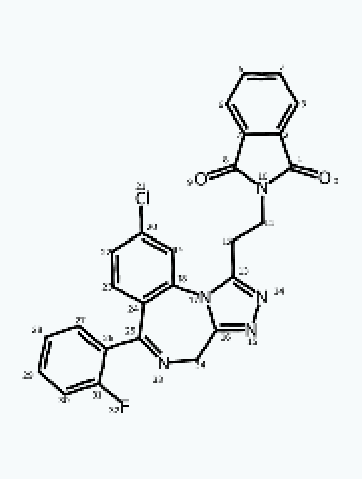 O=C1c2ccccc2C(=O)N1CCc1nnc2n1-c1cc(Cl)ccc1C(c1ccccc1F)=NC2